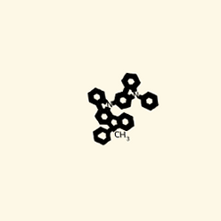 CC1(C2C=CC=CC2)c2ccccc2-c2c1ccc1c3ccccc3n(-c3ccc4c(c3)c3ccccc3n4-c3ccccc3)c21